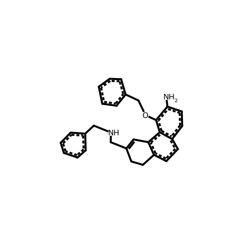 Nc1ccc2ccc3c(c2c1OCc1ccccc1)C=C(CNCc1ccccc1)CC3